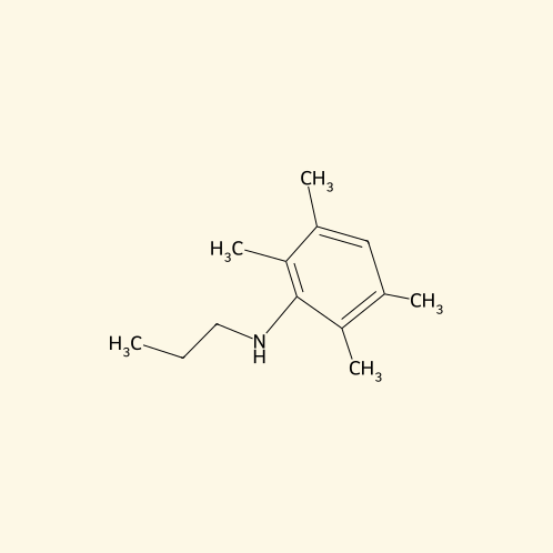 CCCNc1c(C)c(C)cc(C)c1C